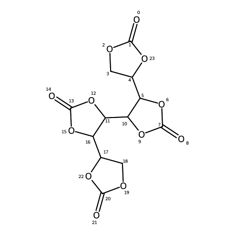 O=C1OCC(C2OC(=O)OC2C2OC(=O)OC2C2COC(=O)O2)O1